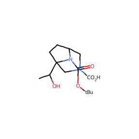 CC(O)C12CCC(CN(C(=O)O)C1)N2C(=O)OC(C)(C)C